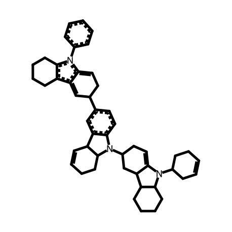 C1=CCC(N2C3=CCC(N4c5ccc(C6C=c7c8c(n(-c9ccccc9)c7=CC6)CCCC8)cc5C5C=CCCC54)CC3C3CCCCC32)CC1